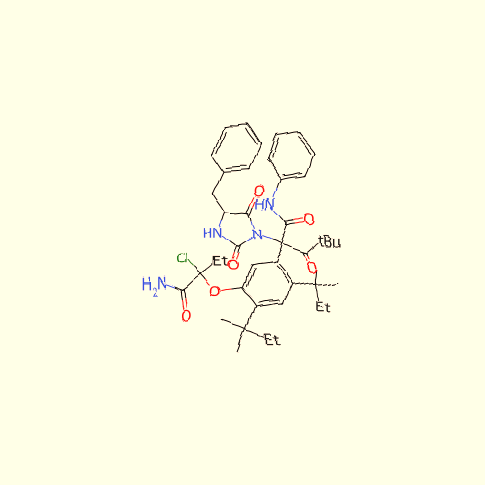 CCC(Cl)(Oc1cc(C(C(=O)Nc2ccccc2)(C(=O)C(C)(C)C)N2C(=O)NC(Cc3ccccc3)C2=O)c(C(C)(C)CC)cc1C(C)(C)CC)C(N)=O